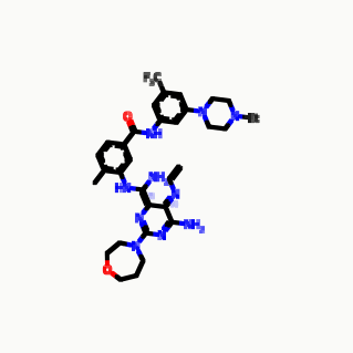 C=C/N=C1/C(N)=NC(N2CCCOCC2)=N/C1=C(/N)Nc1cc(C(=O)Nc2cc(N3CCN(CC)CC3)cc(C(F)(F)F)c2)ccc1C